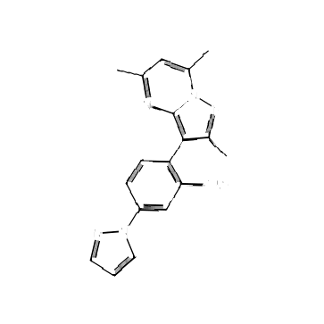 COc1cc(-n2cccn2)ccc1-c1c(C)nn2c(C)cc(C)nc12